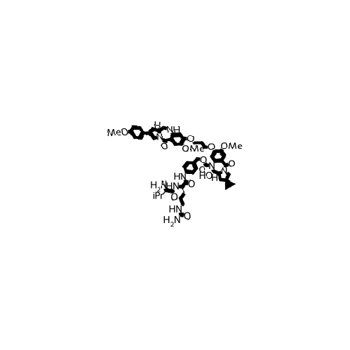 COc1ccc(C2=CN3C(=O)c4cc(OC)c(OCCCOc5cc6c(cc5OC)C(=O)N5CC7(CC7)C[C@H]5C(O)N6C(=O)OCc5ccc(NC(=O)[C@H](CCCNC(N)=O)NC(=O)[C@@H](N)C(C)C)cc5)cc4NC[C@@H]3C2)cc1